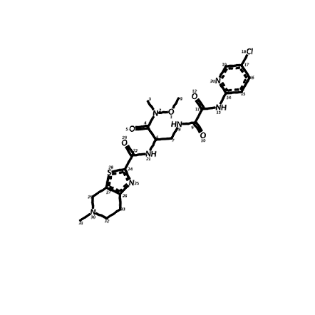 CON(C)C(=O)C(CNC(=O)C(=O)Nc1ccc(Cl)cn1)NC(=O)c1nc2c(s1)CN(C)CC2